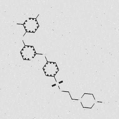 Cc1ccc(Oc2ccnc(Nc3ccc(S(=O)(=O)NCCN4CCN(C)CC4)cc3)c2)c(C)n1